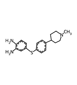 CN1CCC(c2ccc(Sc3ccc(N)c(N)c3)cc2)CC1